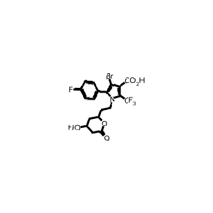 O=C1CC(O)CC(CCn2c(-c3ccc(F)cc3)c(Br)c(C(=O)O)c2C(F)(F)F)O1